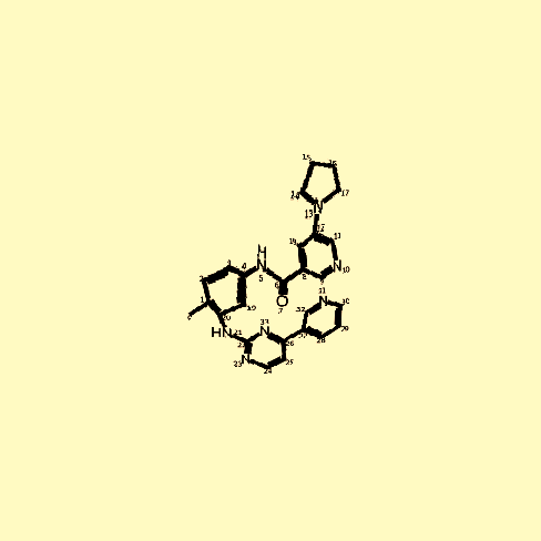 Cc1ccc(NC(=O)c2cncc(N3CCCC3)c2)cc1Nc1nccc(-c2cccnc2)n1